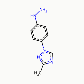 Cc1ncn(-c2ccc(NN)cc2)n1